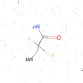 CSC(F)(F)C([NH])=O